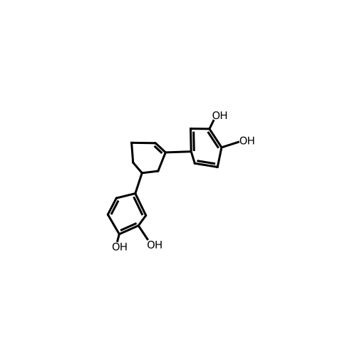 Oc1ccc(C2=CCCC(c3ccc(O)c(O)c3)C2)cc1O